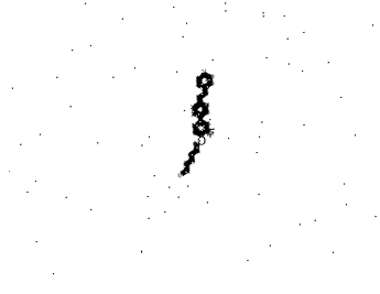 CCCCCCCOc1ccc(-c2ccc(CCC3CC[CH]CC3)cc2)cc1F